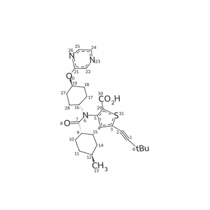 CC(C)(C)C#Cc1cc(N(C(=O)[C@H]2CC[C@H](C)CC2)[C@H]2CC[C@H](Oc3cnccn3)CC2)c(C(=O)O)s1